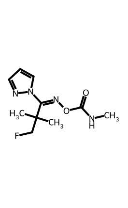 CNC(=O)ON=C(n1cccn1)C(C)(C)CF